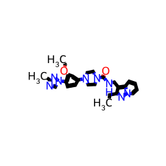 CCOc1cc(N2CCN(C(=O)NCc3c(CC)nn4ccccc34)CC2)ccc1-n1cnc(C)n1